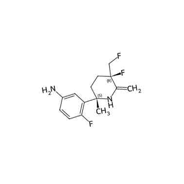 C=C1N[C@](C)(c2cc(N)ccc2F)CC[C@]1(F)CF